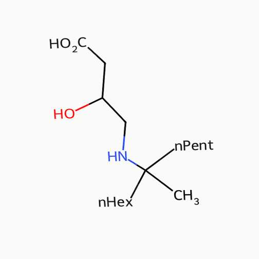 CCCCCCC(C)(CCCCC)NCC(O)CC(=O)O